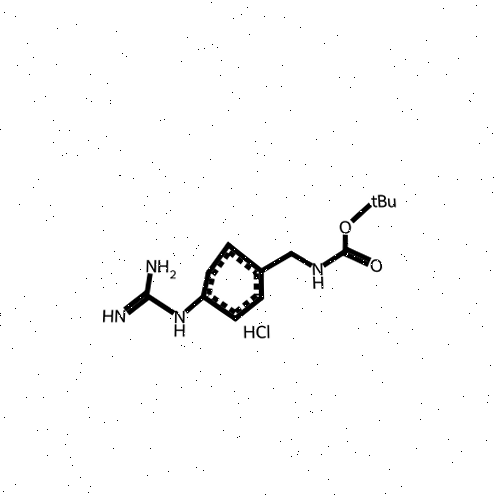 CC(C)(C)OC(=O)NCc1ccc(NC(=N)N)cc1.Cl